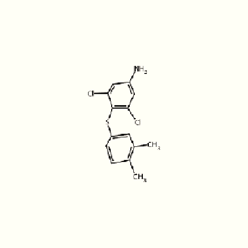 Cc1ccc(Sc2c(Cl)cc(N)cc2Cl)cc1C